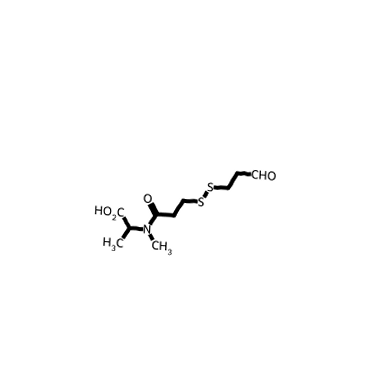 CC(C(=O)O)N(C)C(=O)CCSSCCC=O